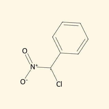 O=[N+]([O-])[C](Cl)c1ccccc1